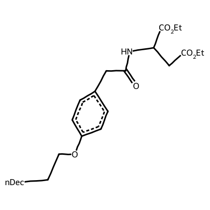 CCCCCCCCCCCCOc1ccc(CC(=O)NC(CC(=O)OCC)C(=O)OCC)cc1